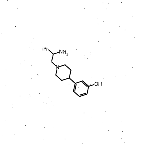 CC(C)C(N)CN1CCC(c2cccc(O)c2)CC1